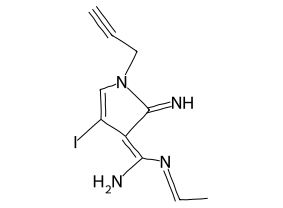 C#CCN1C=C(I)/C(=C(N)/N=C/C)C1=N